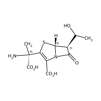 CC(O)[C@H]1C(=O)N2C(C(=O)O)=C([C@](C)(N)C(=O)O)S[C@H]12